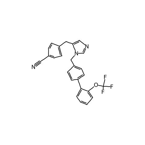 N#Cc1ccc(Cc2cncn2Cc2ccc(-c3ccccc3OC(F)(F)F)cc2)cc1